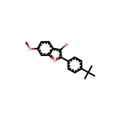 COc1ccc2c(Br)c(-c3ccc(C(C)(C)C)cc3)oc2c1